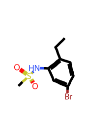 CCc1ccc(Br)cc1NS(C)(=O)=O